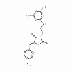 Cc1ccc(/C=C2\SC(=O)N(CCNc3nc(C)nc(Cl)n3)C2=O)cc1